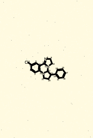 Clc1ccc2c(c1)C1=NCCN1C1C(c3ccccc3)CCN21